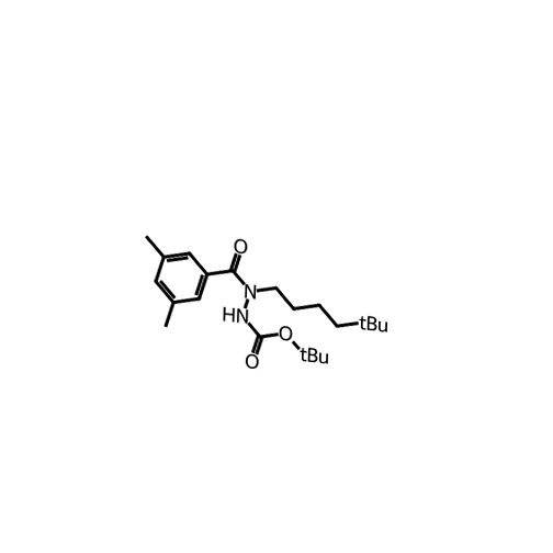 Cc1cc(C)cc(C(=O)N(CCCCC(C)(C)C)NC(=O)OC(C)(C)C)c1